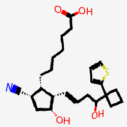 N#C[C@H]1C[C@@H](O)[C@@H](C=CCC(O)C2(c3cccs3)CCC2)[C@H]1CCCCCCC(=O)O